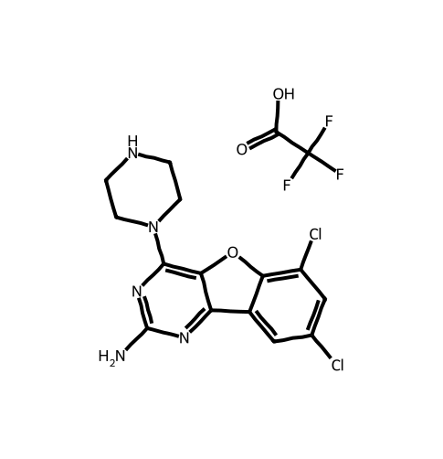 Nc1nc(N2CCNCC2)c2oc3c(Cl)cc(Cl)cc3c2n1.O=C(O)C(F)(F)F